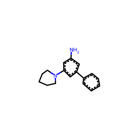 Nc1cc(-c2ccccc2)cc(N2CCCCC2)c1